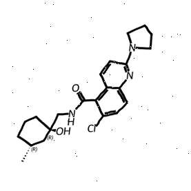 C[C@@H]1CCC[C@](O)(CNC(=O)c2c(Cl)ccc3nc(N4CCCC4)ccc23)C1